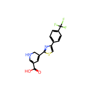 O=C(O)C1=CNCC(c2nc(-c3ccc(C(F)(F)F)cc3)cs2)=C1